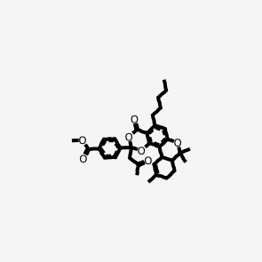 CCCCCc1cc2c(c3c1C(=O)OC(CC(C)=O)(c1ccc(C(=O)OC)cc1)O3)C1C=C(C)CCC1C(C)(C)O2